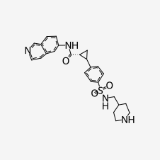 O=C(Nc1ccc2cnccc2c1)[C@@H]1CC1c1ccc(S(=O)(=O)NCC2CCNCC2)cc1